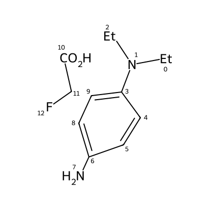 CCN(CC)c1ccc(N)cc1.O=C(O)CF